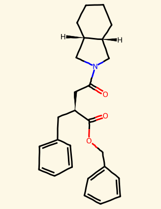 O=C(OCc1ccccc1)[C@H](CC(=O)N1C[C@H]2CCCC[C@H]2C1)Cc1ccccc1